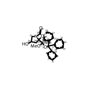 COC(OC)(OC(c1ccccc1)(c1ccccc1)c1ccccc1)C12CC(O)CN1C(=O)O2